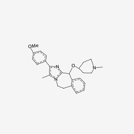 COc1ccc(-c2nc3n(c2C)CCc2ccccc2C3OC2CCN(C)CC2)cc1